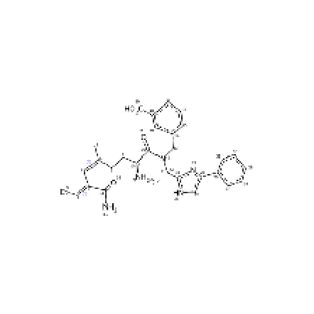 CC/C=C(\C=C(\C)CC[C@H](N)C(=O)N(Cc1cccc(C(=O)O)c1)[C@@H](C)c1nc(-c2ccccc2)c[nH]1)C(N)=O